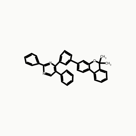 CC1(C)Oc2cc(-c3cccc(-c4nc(-c5ccccc5)ncc4-c4ccccc4)c3)ccc2-c2ccccc21